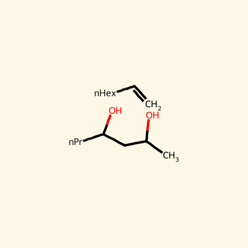 C=CCCCCCC.CCCC(O)CC(C)O